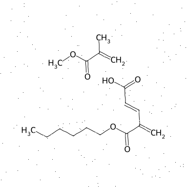 C=C(C)C(=O)OC.C=C(C=CC(=O)O)C(=O)OCCCCCC